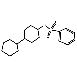 O=S(=O)(OC1CCC(C2CCCCC2)CC1)c1ccccc1